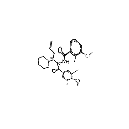 C=CC[C@H](C1CCCCC1)N(NC(=O)c1cccc(OC)c1C)C(=O)c1cc(C)c(OC)c(C)c1